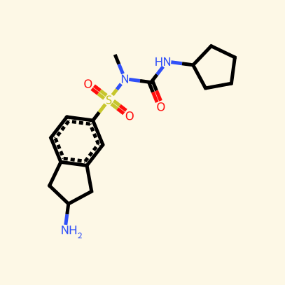 CN(C(=O)NC1CCCC1)S(=O)(=O)c1ccc2c(c1)CC(N)C2